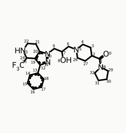 O=C(C1CCN(CC(O)Cn2nc(-c3ccccc3)c3c2CCNC3C(F)(F)F)CC1)N1CCCC1